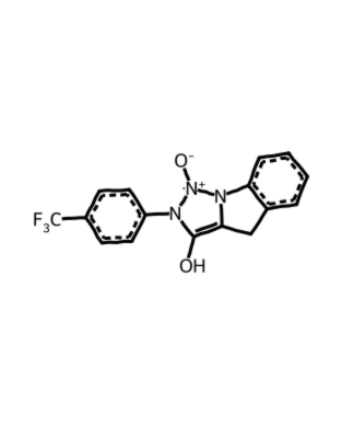 [O-][N+]1N(c2ccc(C(F)(F)F)cc2)C(O)=C2Cc3ccccc3N21